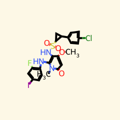 COc1cc(=O)n(C)c(Nc2ccc(I)cc2F)c1NS(=O)(=O)C1CC1c1ccc(Cl)cc1